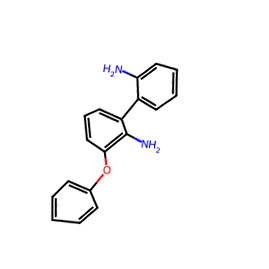 Nc1ccccc1-c1cccc(Oc2ccccc2)c1N